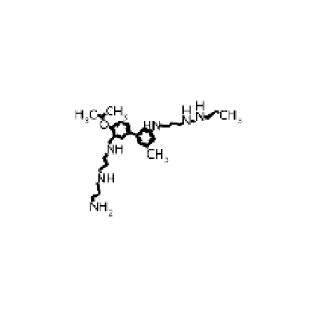 CCCNCNCCCNc1cc(C)cc(-c2ccc(OC(C)C)c(CNCCCNCCCN)c2)c1